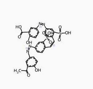 CC(=O)c1cc(/N=N\c2ccc(/C=C\c3ccc(/N=N\c4ccc(O)c(C(=O)O)c4)cc3S(=O)(=O)O)c(S(=O)(=O)O)c2)ccc1O